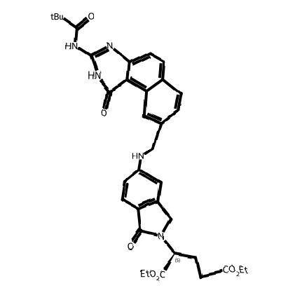 CCOC(=O)CC[C@@H](C(=O)OCC)N1Cc2cc(NCc3ccc4ccc5nc(NC(=O)C(C)(C)C)[nH]c(=O)c5c4c3)ccc2C1=O